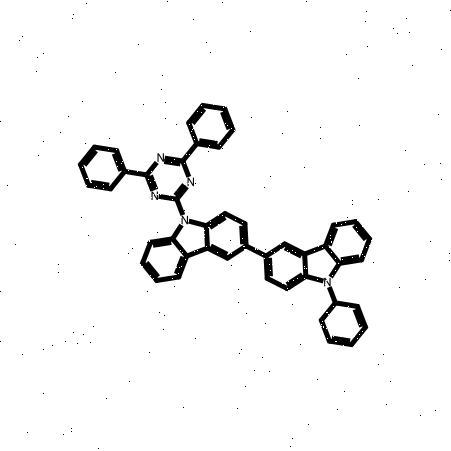 C1=CCC(n2c3ccccc3c3cc(-c4ccc5c(c4)c4ccccc4n5-c4nc(-c5ccccc5)nc(-c5ccccc5)n4)ccc32)C=C1